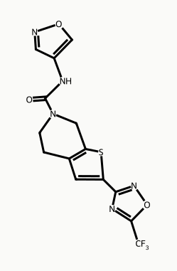 O=C(Nc1cnoc1)N1CCc2cc(-c3noc(C(F)(F)F)n3)sc2C1